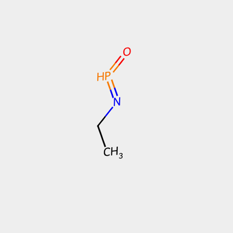 CCN=[PH]=O